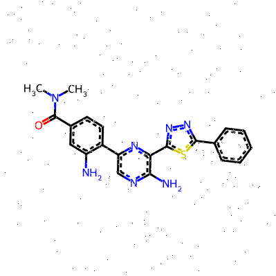 CN(C)C(=O)c1ccc(-c2cnc(N)c(-c3nnc(-c4ccccc4)s3)n2)c(N)c1